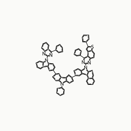 c1ccc(-c2cc3c(ccc4nc(-n5c6ccc(-c7ccc8c(c7)c7cc(-c9ccc%10c(c9)c9ccccc9n%10-c9nc(-c%10ccccc%10)c%10ccccc%10n9)ccc7n8-c7ccccc7)cc6c6c7ccccc7ccc65)nc(-c5ccccc5)c43)s2)cc1